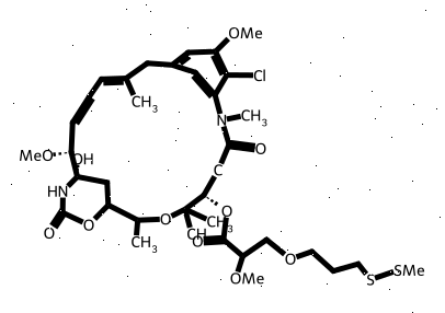 COc1cc2cc(c1Cl)N(C)C(=O)C[C@H](OC(=O)C(COCCCSSC)OC)C(C)(C)OC(C)C1C[C@@](O)(NC(=O)O1)[C@H](OC)/C=C/C=C(\C)C2